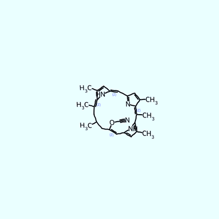 CC1=CC2=NC/1=C(/C)c1[nH]c(cc1C)/C=C(\OC#N)CC(C)C/C(C)=c1\[nH]/c(cc1C)=C\2